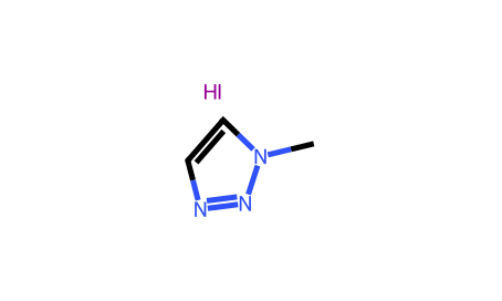 Cn1ccnn1.I